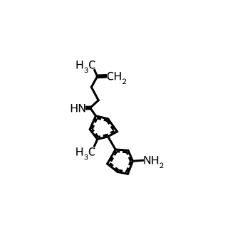 C=C(C)CCC(=N)c1ccc(-c2cccc(N)c2)c(C)c1